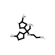 CCCPC(CC)(C1CCC(O)C1)C1CCC(O)C1